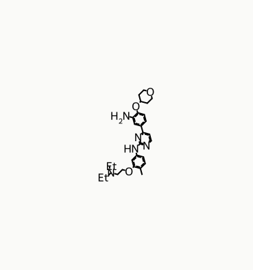 CCN(CC)CCOc1cc(Nc2nccc(-c3ccc(OC4CCOCC4)c(N)c3)n2)ccc1C